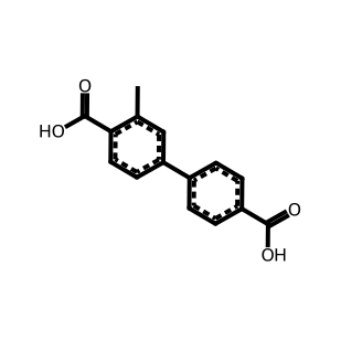 Cc1cc(-c2ccc(C(=O)O)cc2)ccc1C(=O)O